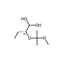 CC[C@@H](OC(C)(C)OC)C(O)O